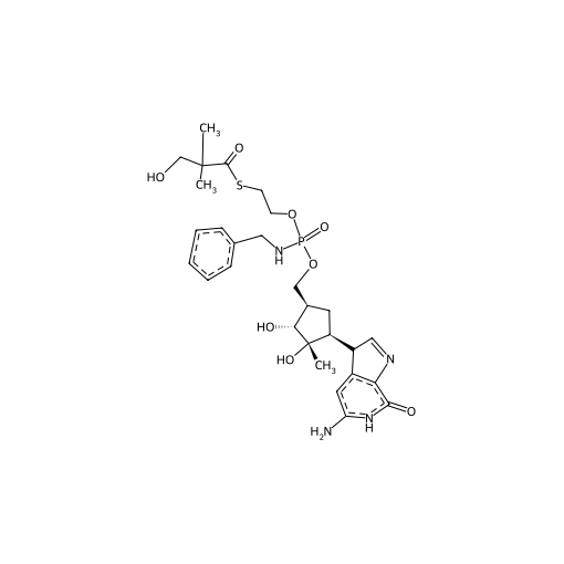 CC(C)(CO)C(=O)SCCOP(=O)(NCc1ccccc1)OC[C@H]1C[C@@H](C2C=Nc3c2cc(N)[nH]c3=O)[C@](C)(O)[C@@H]1O